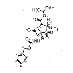 CC(=O)OC(C)OC(=O)[C@@H]1N2C(=O)[C@@H](NC(=O)OCc3ccccc3)[C@H]2S(=O)(=O)C1(C)C